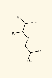 CCCCC(CC)COC(O)C(CC)CCCC